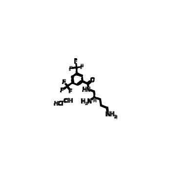 Cl.Cl.NCCC[C@@H](N)CNC(=O)c1cc(C(F)(F)F)cc(C(F)(F)F)c1